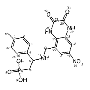 Cc1ccc(C(CP(=O)(O)O)NCc2cc([N+](=O)[O-])cc3[nH]c(=O)c(=O)[nH]c23)cc1